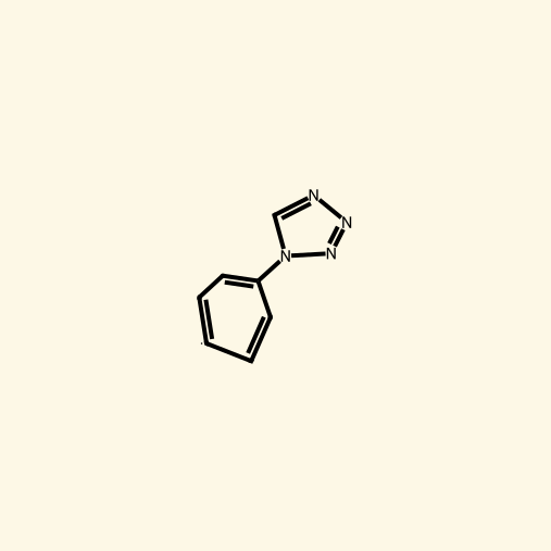 [c]1ccc(-n2cnnn2)cc1